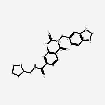 O=C(NCC1CCCO1)c1ccc2c(=O)n(Cc3ccc4c(c3)OCO4)c(=O)[nH]c2c1